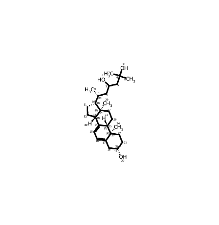 C[C@H](CC(O)CC(C)(C)O)[C@H]1CC[C@H]2C3=CC=C4C[C@@H](O)CC[C@]4(C)[C@H]3CC[C@]12C